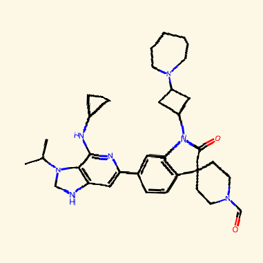 CC(C)N1CNc2cc(-c3ccc4c(c3)N(C3CC(N5CCCCC5)C3)C(=O)C43CCN(C=O)CC3)nc(NC3CC3)c21